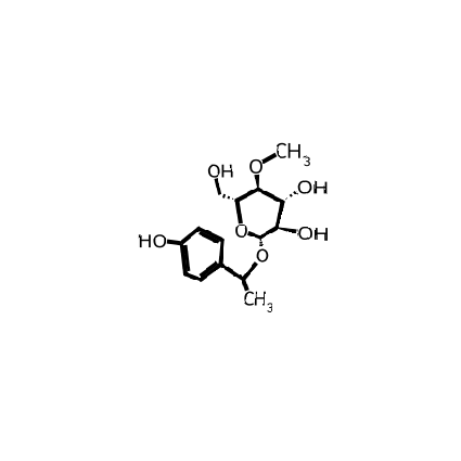 CO[C@H]1[C@H](O)[C@@H](O)[C@H](OC(C)c2ccc(O)cc2)O[C@@H]1CO